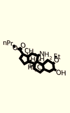 CCCOC(=O)C1CC[C@H]2[C@@H]3CCC4CC(O)C(OCC)C[C@]4(C)[C@@H]3C(N)C[C@]12C